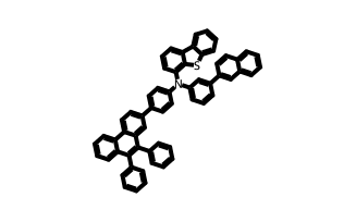 c1ccc(-c2c(-c3ccccc3)c3cc(-c4ccc(N(c5cccc(-c6ccc7ccccc7c6)c5)c5cccc6c5sc5ccccc56)cc4)ccc3c3ccccc23)cc1